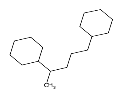 CC(CCC[C]1CCCCC1)C1CCCCC1